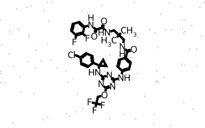 CC(C)(CNC(=O)C(=O)Nc1cccc(F)c1F)CNC(=O)c1ccc(Nc2nc(NC3(c4ccc(Cl)cc4)CC3)nc(OCC(F)(F)F)n2)cc1